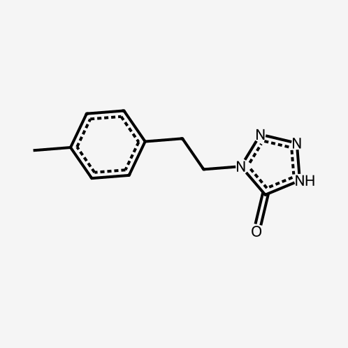 Cc1ccc(CCn2nn[nH]c2=O)cc1